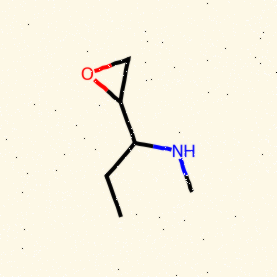 CCC(NC)C1CO1